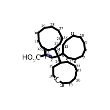 C/C(=C\C(C1CCCCCCCCC1)(C1CCCCCCCCC1)C1CCCCCCCCC1)C(=O)O